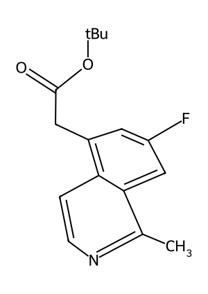 Cc1nccc2c(CC(=O)OC(C)(C)C)cc(F)cc12